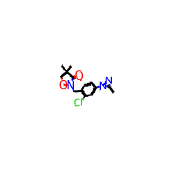 CC1=NN1c1ccc(CN2OCC(C)(C)C2=O)c(Cl)c1